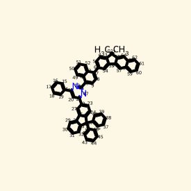 CC1(C)c2ccc(-c3ccc(-c4nc(-c5ccccc5)cc(-c5ccc6c(c5)-c5ccccc5C6(c5ccccc5)c5ccccc5)n4)c4ccccc34)cc2-c2cc3ccccc3cc21